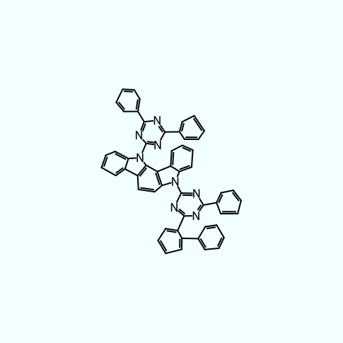 c1ccc(-c2nc(-c3ccccc3-c3ccccc3)nc(-n3c4ccccc4c4c3ccc3c5ccccc5n(-c5nc(-c6ccccc6)nc(-c6ccccc6)n5)c34)n2)cc1